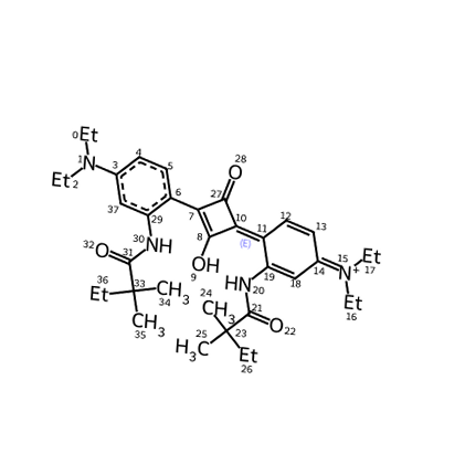 CCN(CC)c1ccc(C2=C(O)/C(=C3/C=CC(=[N+](CC)CC)C=C3NC(=O)C(C)(C)CC)C2=O)c(NC(=O)C(C)(C)CC)c1